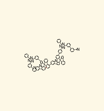 N#Cc1cccc(-c2cccc(-c3nc(-c4ccccc4)nc(-c4ccc(-c5ccc6c(c5)C5(c7ccccc7-c7ccccc75)c5cccc7c8cc(-c9cccc%10c9-c9ccccc9C%109c%10ccc(-c%11cccc(-c%12nc(-c%13ccccc%13)nc(-c%13cccc(-c%14ccccn%14)c%13)n%12)c%11)cc%10-n%10c%11ccccc%11c%11cccc9c%11%10)ccc8n-6c57)cc4)n3)c2)c1